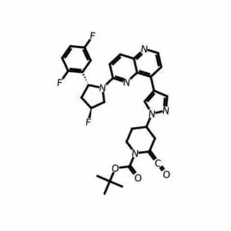 CC(C)(C)OC(=O)N1CCC(n2cc(-c3ccnc4ccc(N5C[C@@H](F)C[C@@H]5c5cc(F)ccc5F)nc34)cn2)CC1=C=O